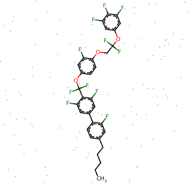 CCCCCc1ccc(-c2cc(F)c(C(F)(F)Oc3ccc(OCC(F)(F)Oc4cc(F)c(F)c(F)c4)c(F)c3)c(F)c2)c(F)c1